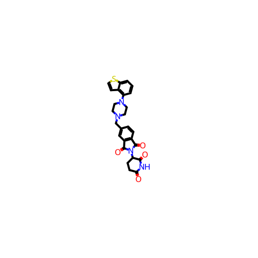 O=C1CCC(N2C(=O)c3ccc(CN4CCN(c5cccc6sccc56)CC4)cc3C2=O)C(=O)N1